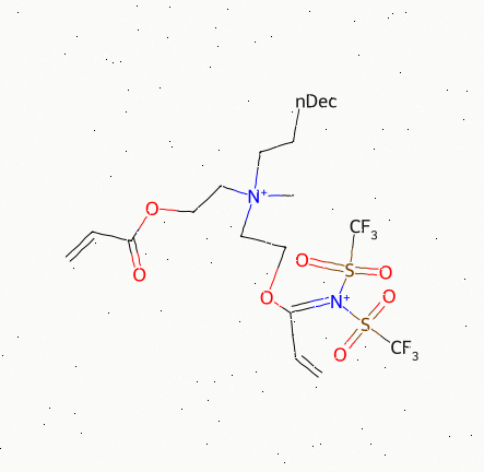 C=CC(=O)OCC[N+](C)(CCCCCCCCCCCC)CCOC(C=C)=[N+](S(=O)(=O)C(F)(F)F)S(=O)(=O)C(F)(F)F